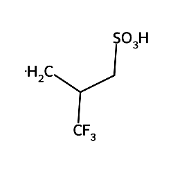 [CH2]C(CS(=O)(=O)O)C(F)(F)F